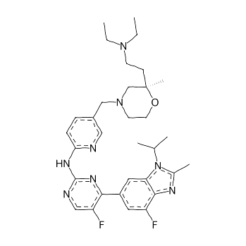 CCN(CC)CC[C@]1(C)CN(Cc2ccc(Nc3ncc(F)c(-c4cc(F)c5nc(C)n(C(C)C)c5c4)n3)nc2)CCO1